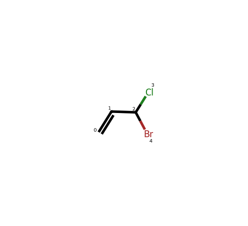 C=CC(Cl)Br